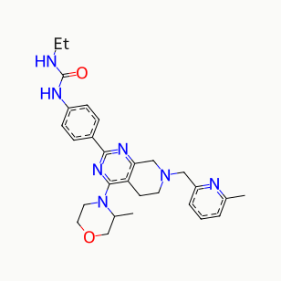 CCNC(=O)Nc1ccc(-c2nc3c(c(N4CCOCC4C)n2)CCN(Cc2cccc(C)n2)C3)cc1